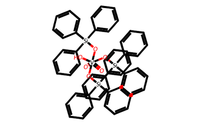 [O]=[V](=[O])([OH])([O][Si](c1ccccc1)(c1ccccc1)c1ccccc1)([O][Si](c1ccccc1)(c1ccccc1)c1ccccc1)[O][Si](c1ccccc1)(c1ccccc1)c1ccccc1